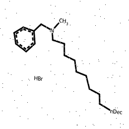 Br.CCCCCCCCCCCCCCCCCCCN(C)Cc1ccccc1